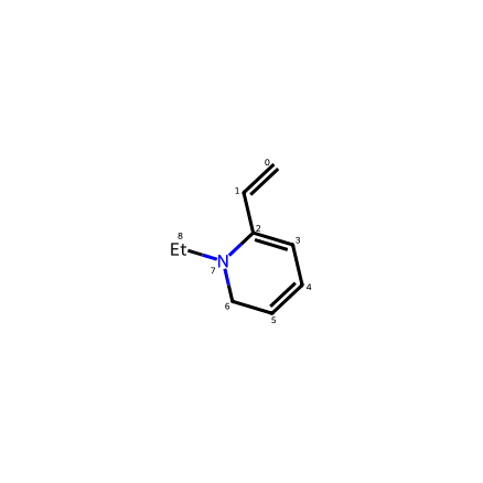 C=CC1=CC=CCN1CC